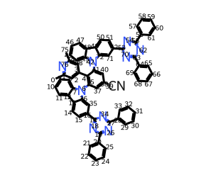 Cc1cc(-c2c(-n3c4ccccc4c4ccc(-c5nc(-c6ccccc6)nc(-c6ccccc6)n5)cc43)cc(C#N)cc2-n2c3ccccc3c3ccc(-c4nc(-c5ccccc5)nc(-c5ccccc5)n4)cc32)cc(C)n1